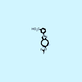 O=C(O)c1cccc(-n2cc3c(n2)C/C=C\C(OC(F)F)=C/CC3)c1